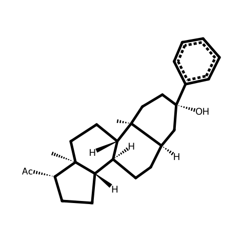 CC(=O)[C@H]1CC[C@H]2[C@@H]3CC[C@@H]4C[C@](O)(c5ccccc5)CC[C@]4(C)[C@H]3CC[C@]12C